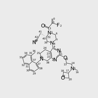 C=C(F)C(=O)N1CCN(c2nc(OCCN(C)C3COC3)nc3c2CCN(c2cccc4cccc(C)c24)C3)C[C@@H]1CC#N